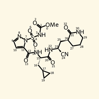 COC(=O)NS(=O)(=O)n1nccc1C(=O)N[C@@H](CC1CC1)C(=O)N[C@H](C#N)C[C@@H]1CCCNC1=O